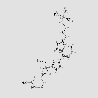 CC1CC(N2CC(CC#N)(n3cc(-c4ncnc5c4ccn5COCCS(C)(C)C)cn3)C2)CCN1